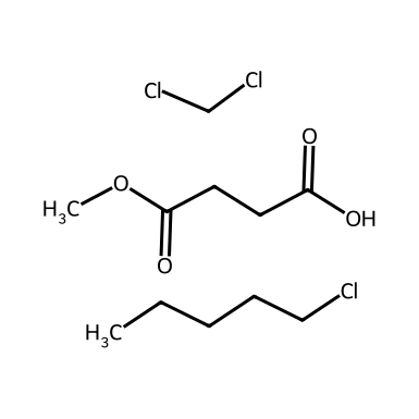 CCCCCCl.COC(=O)CCC(=O)O.ClCCl